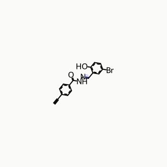 C#Cc1ccc(C(=O)N/N=C/c2cc(Br)ccc2O)cc1